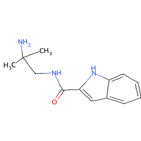 CC(C)(N)CNC(=O)c1cc2ccccc2[nH]1